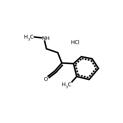 CNCCC(=C=O)c1ccccc1C.Cl